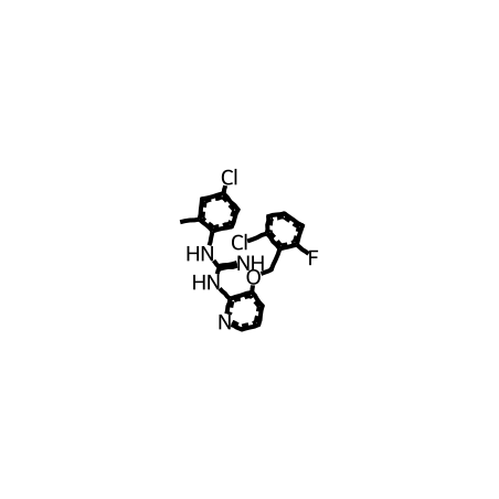 Cc1cc(Cl)ccc1NC(=N)Nc1ncccc1OCc1c(F)cccc1Cl